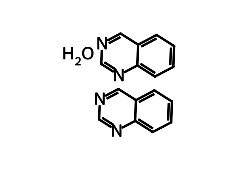 O.c1ccc2ncncc2c1.c1ccc2ncncc2c1